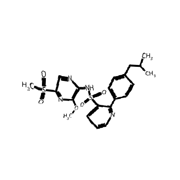 COc1nc(S(C)(=O)=O)cnc1NS(=O)(=O)c1cccnc1-c1ccc(CC(C)C)cc1